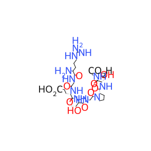 C[C@@H](O)[C@H](NC(=O)[C@H](CCC(=O)O)NC(=O)CNC(=O)[C@@H](N)CCCNC(=N)N)C(=O)NCC(=O)N1CCC[C@H]1C(=O)N[C@@H](CO)C(=O)NCC(=O)O